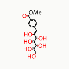 COC(=O)c1ccc(C=C(O)[C@H](O)[C@@H](O)[C@H](O)[C@H](O)CO)cc1